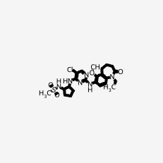 CCN1C(=O)CCCc2c1ccc(Nc1ncc(Cl)c(NC3CCCC3NS(C)(=O)=O)n1)c2OC